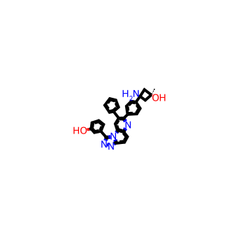 C[C@]1(O)C[C@@](N)(c2ccc(-c3nc4ccc5nnc(-c6cccc(O)c6)n5c4cc3-c3ccccc3)cc2)C1